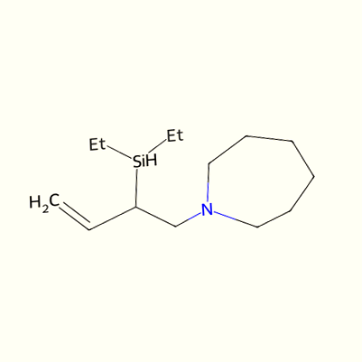 C=CC(CN1CCCCCC1)[SiH](CC)CC